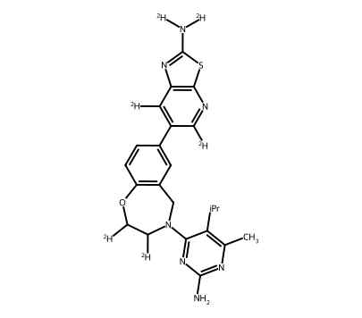 [2H]c1nc2sc(N([2H])[2H])nc2c([2H])c1-c1ccc2c(c1)CN(c1nc(N)nc(C)c1C(C)C)C([2H])C([2H])O2